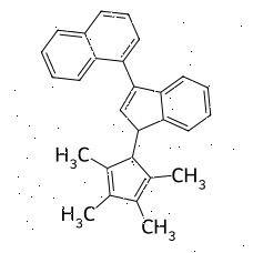 CC1=C(C)C(C)=C(C)[C]1C1C=C(c2cccc3ccccc23)c2ccccc21